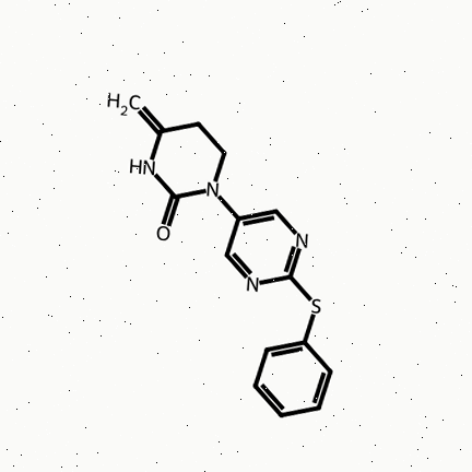 C=C1CCN(c2cnc(Sc3ccccc3)nc2)C(=O)N1